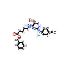 CC(=O)c1ccc(Nc2ncc(Br)c(NCCCCC(=O)OCc3ccccc3)n2)cc1